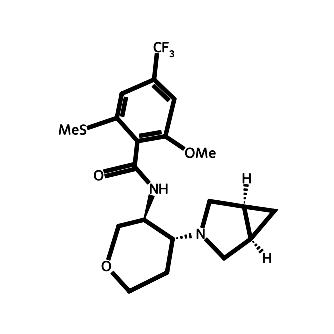 COc1cc(C(F)(F)F)cc(SC)c1C(=O)N[C@@H]1COCC[C@H]1N1C[C@H]2C[C@H]2C1